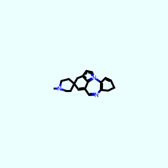 CN1CCC2(C=C3C=NC4=C(C=CCC4)n4ccc(c43)C2)CC1